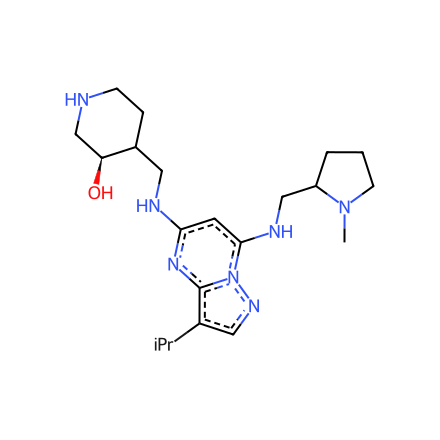 CC(C)c1cnn2c(NCC3CCCN3C)cc(NCC3CCNC[C@@H]3O)nc12